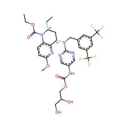 CCOC(=O)N1c2ccc(OC)nc2[C@@H](N(Cc2cc(C(F)(F)F)cc(C(F)(F)F)c2)c2ncc(NC(=O)OCC(O)CO)cn2)C[C@H]1CC